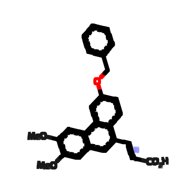 COc1cc2cc(/C=C/C(=O)O)c3ccc(OCc4ccccc4)cc3c2cc1OC